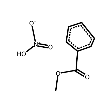 COC(=O)c1ccccc1.O=[N+]([O-])O